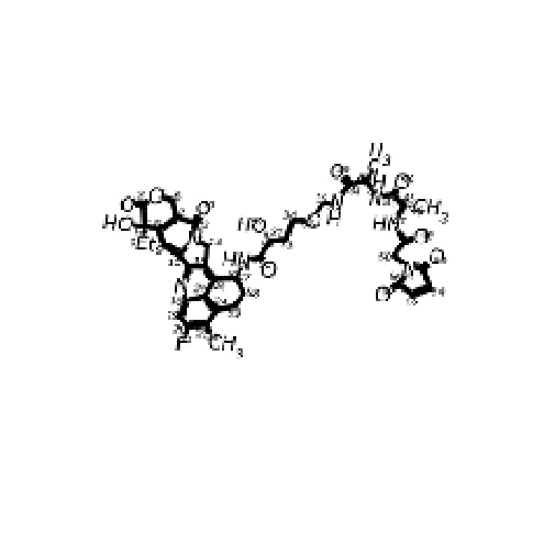 CC[C@@]1(O)C(=O)OCc2c1cc1n(c2=O)Cc2c-1nc1cc(F)c(C)c3c1c2[C@@H](NC(=O)[C@H](O)CCOCNC(=O)[C@H](C)NC(=O)[C@H](C)NC(=O)CN1C(=O)C=CC1=O)CC3